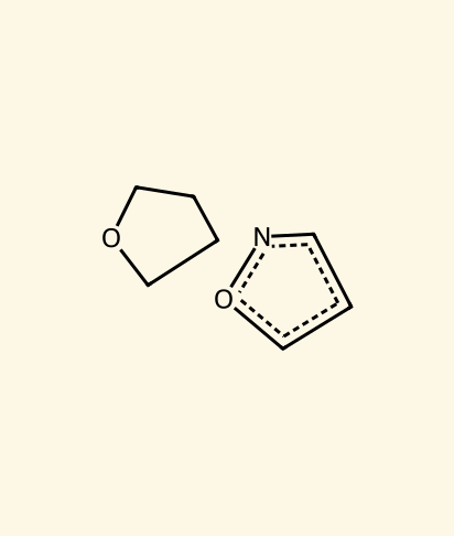 C1CCOC1.c1cnoc1